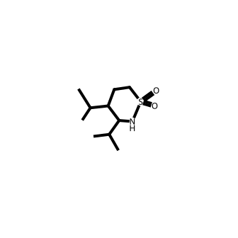 CC(C)C1CCS(=O)(=O)NC1C(C)C